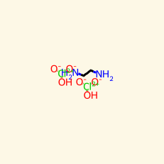 NCCN.[O-][Cl+2]([O-])O.[O-][Cl+2]([O-])O